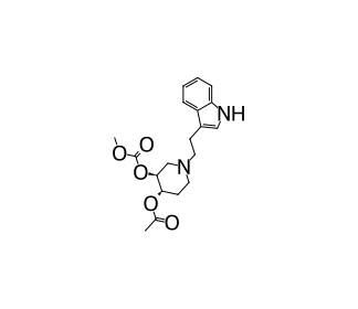 COC(=O)O[C@H]1CN(CCc2c[nH]c3ccccc23)CC[C@H]1OC(C)=O